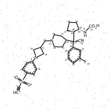 C#CS(=O)(=O)c1ccc(N2CC(CN3CCC([C@@](C#N)(c4cccc(F)c4)[C@H]4CCC[C@@H]4NC(=O)O)CC3)C2)cc1